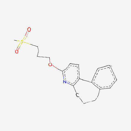 CS(=O)(=O)CCCOc1ccc2c(n1)CCCc1cc[c]cc1-2